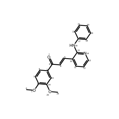 COc1ccc(C(=O)C=Cc2cccnc2Nc2ccccc2)cc1OC